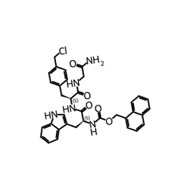 NC(=O)CNC(=O)[C@H](Cc1ccc(CCl)cc1)NC(=O)[C@H](Cc1c[nH]c2ccccc12)NC(=O)OCc1cccc2ccccc12